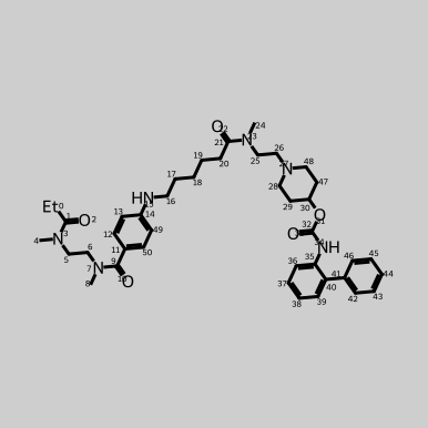 CCC(=O)N(C)CCN(C)C(=O)c1ccc(NCCCCCC(=O)N(C)CCN2CCC(OC(=O)Nc3ccccc3-c3ccccc3)CC2)cc1